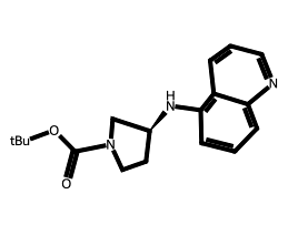 CC(C)(C)OC(=O)N1CC[C@H](Nc2cccc3ncccc23)C1